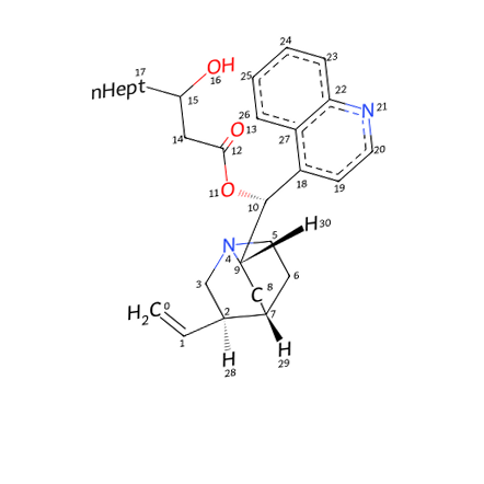 C=C[C@H]1CN2CC[C@H]1C[C@H]2[C@H](OC(=O)CC(O)CCCCCCC)c1ccnc2ccccc12